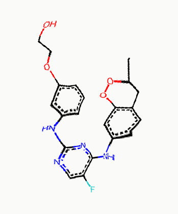 CC1Cc2ccc(Nc3nc(Nc4cccc(OCCO)c4)ncc3F)cc2OO1